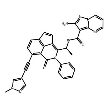 C[C@H](NC(=O)c1c(N)nn2cccnc12)c1c2c3c(ccc(C#Cc4cnn(C)c4)c3c(=O)n1-c1ccccc1)C=C2